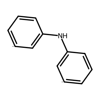 [c]1cccc(Nc2c[c]ccc2)c1